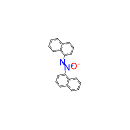 [O-][N+](=Nc1cccc2ccccc12)c1cccc2ccccc12